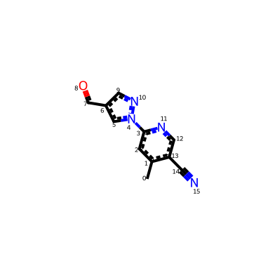 Cc1cc(-n2cc(C=O)cn2)ncc1C#N